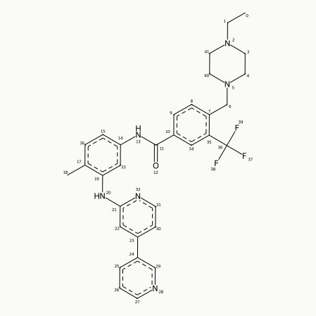 CCN1CCN(Cc2ccc(C(=O)Nc3ccc(C)c(Nc4cc(-c5cccnc5)ccn4)c3)cc2C(F)(F)F)CC1